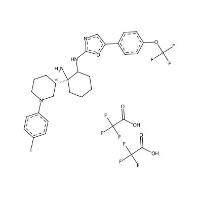 NC1([C@H]2CCCN(c3ccc(I)cc3)C2)CCCCC1Nc1ncc(-c2ccc(OC(F)(F)F)cc2)o1.O=C(O)C(F)(F)F.O=C(O)C(F)(F)F